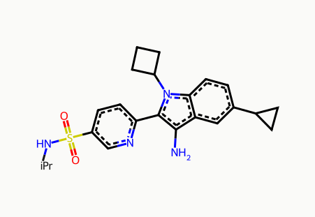 CC(C)NS(=O)(=O)c1ccc(-c2c(N)c3cc(C4CC4)ccc3n2C2CCC2)nc1